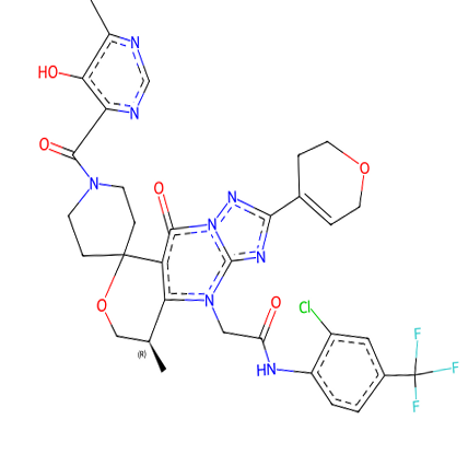 Cc1ncnc(C(=O)N2CCC3(CC2)OC[C@H](C)c2c3c(=O)n3nc(C4=CCOCC4)nc3n2CC(=O)Nc2ccc(C(F)(F)F)cc2Cl)c1O